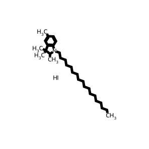 CCCCCCCCCCCCCCCCCCN1c2ccc(C)cc2C(C)(C)C1C.I